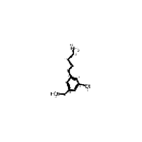 CCc1cc(CN)cc(CCCCN)c1